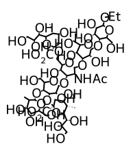 CCOC1OC(CO)[C@@H](OC2OC(CO)[C@H](O)[C@H](OC3OC(CO[C@]4(C(=O)O)C[C@@H](O)[C@@H](C)C([C@H](O)[C@H](O)CO)O4)[C@@H](O)[C@H](O[C@@H]4OC(CO)[C@H](O[C@@H]5OC(CO)[C@H](O)[C@H](O)C5C)[C@H](O[C@@]5(C(=O)O)CC(O)[C@H](C)C([C@H](O)[C@H](O)CO)O5)C4O)[C@@H]3NC(C)=O)[C@@H]2O)[C@H](O)[C@@H]1O